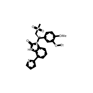 CCOc1cc([C@H](CS(C)(=O)=O)n2c(=O)[nH]c3c(-c4cccs4)cccc32)ccc1OC